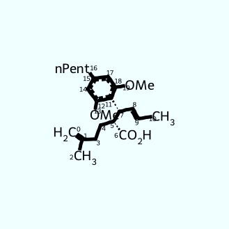 C=C(C)CC[C@@H](C(=O)O)[C@@H](/C=C/C)c1c(OC)cc(CCCCC)cc1OC